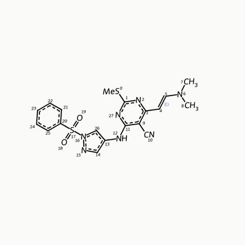 CSc1nc(/C=C/N(C)C)c(C#N)c(Nc2cnn(S(=O)(=O)c3ccccc3)c2)n1